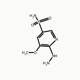 COc1cc(S(N)(=O)=O)cnc1NN